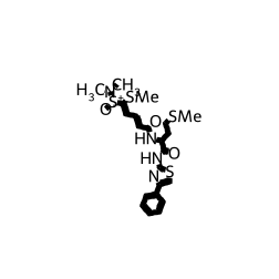 CSCCC(NC(=O)/C=C/C=C(\SC)[S+]([O-])N(C)C)C(=O)Nc1nc(-c2ccccc2)cs1